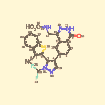 N#Cc1c(-c2c(-c3ccc4c(=O)[nH]nc(CNC(=O)O)c4c3)cnn2C(F)F)sc2ccccc12